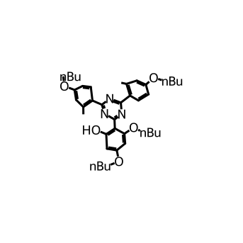 CCCCOc1ccc(-c2nc(-c3ccc(OCCCC)cc3C)nc(-c3c(O)cc(OCCCC)cc3OCCCC)n2)c(C)c1